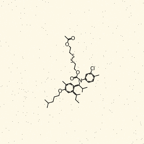 CC/C(C)=c1\cc(OCCCC(C)C)c(C)c\c1=C(\C(C)C)N(C(=O)OCCSSCCOC(C)=O)c1ccc(C)c(Cl)c1